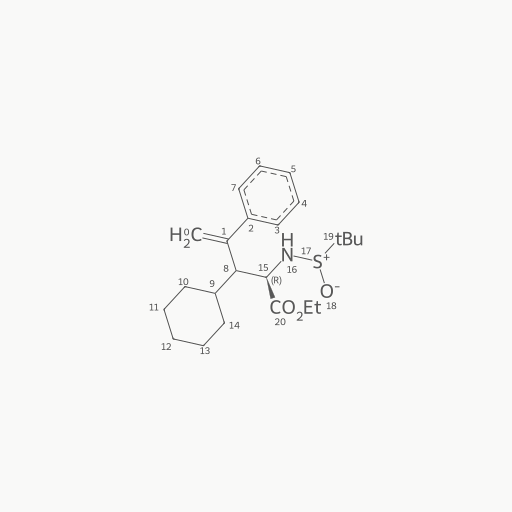 C=C(c1ccccc1)C(C1CCCCC1)[C@@H](N[S+]([O-])C(C)(C)C)C(=O)OCC